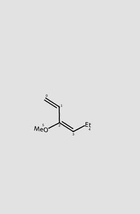 C=C/C(=C\CC)OC